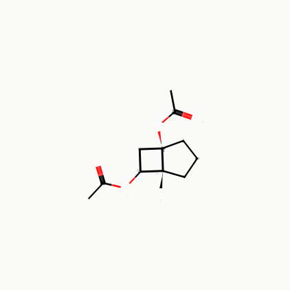 CC(=O)OC1C[C@]2(OC(C)=O)CCC[C@H]12